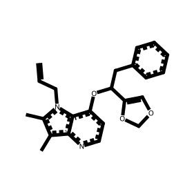 C=CCn1c(C)c(C)c2nccc(OC(Cc3ccccc3)C3=COCO3)c21